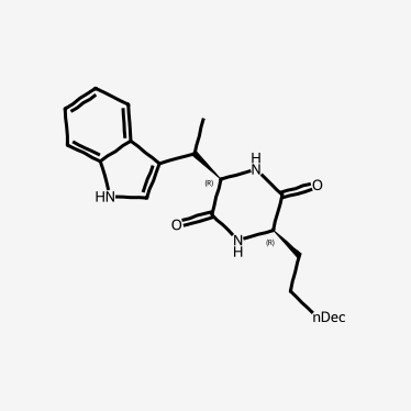 CCCCCCCCCCCC[C@H]1NC(=O)[C@@H](C(C)c2c[nH]c3ccccc23)NC1=O